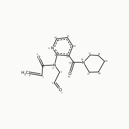 C=CC(=O)N(C[C]=O)c1ncccc1C(=O)N1CCCCC1